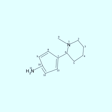 CN1CCCCC1c1ccc(N)cc1